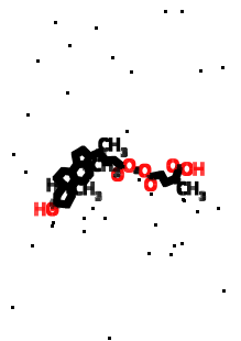 CC(CCC(=O)OCOC(=O)CC[C@@H](C)C1CCC2C3CC[C@@H]4C[C@H](O)CC[C@]4(C)C3CC[C@@]21C)C(=O)O